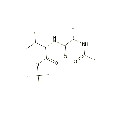 CC(=O)N[C@@H](C)C(=O)N[C@H](C(=O)OC(C)(C)C)C(C)C